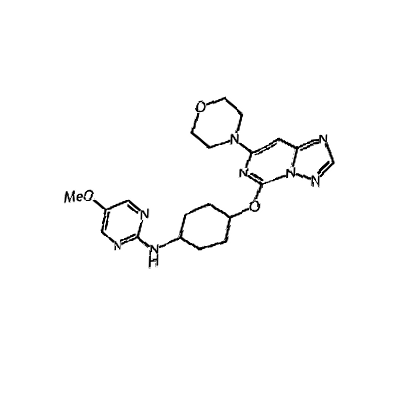 COc1cnc(NC2CCC(Oc3nc(N4CCOCC4)cc4ncnn34)CC2)nc1